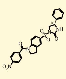 O=C(c1ccc([N+](=O)[O-])cc1)N1CCc2cc(S(=O)(=O)N3C[C@H](c4ccccc4)NC3=O)ccc21